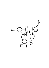 CC#Cc1ccc2c(=O)[nH]nc(Cc3cc(F)c(F)c(C(=O)N4CCN(c5ccc(C#N)cn5)CC4)c3)c2c1